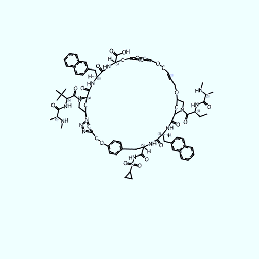 CC[C@H](NC(=O)[C@H](C)NC)C(=O)N1CC2CC1C(=O)N[C@@H](Cc1ccc3ccccc3c1)C(=O)N[C@H](C(=O)NS(=O)(=O)C1CC1)Cc1ccc(cc1)OCc1cn(nn1)C1C[C@@H](C(=O)N[C@@H](Cc3ccc4ccccc4c3)C(=O)N[C@H](C(=O)O)Cc3ccc(cc3)OC/C=C/CO2)N(C(=O)[C@@H](NC(=O)[C@H](C)NC)C(C)(C)C)C1